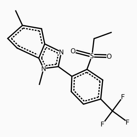 CCS(=O)(=O)c1cc(C(F)(F)F)ccc1-c1nc2cc(C)ccc2n1C